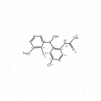 COc1cccc(C(O)c2cc(Cl)ccc2NC(=O)O)c1Cl